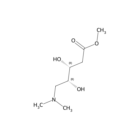 COC(=O)C[C@@H](O)[C@H](O)CN(C)C